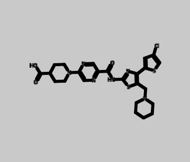 O=C(Nc1nc(-c2cc(Cl)cs2)c(CN2CCCCC2)s1)c1cnc(N2CCC(C(=O)O)CC2)cn1